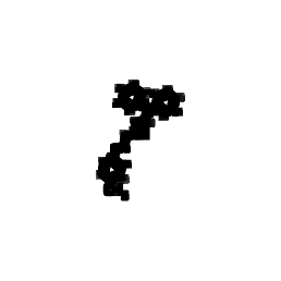 Cc1ccc(SCCNCCP(c2ccccc2)c2ccccc2)cc1